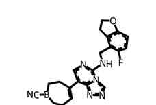 N#CB1CCC=C(c2cnc(NCc3c(F)ccc4c3CCO4)n3cnnc23)CC1